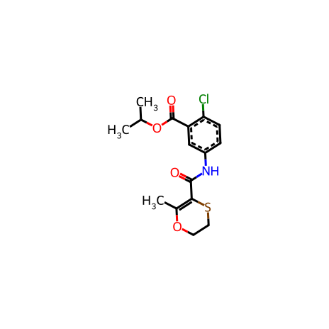 CC1=C(C(=O)Nc2ccc(Cl)c(C(=O)OC(C)C)c2)SCCO1